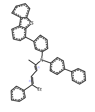 CC/C(=C\C=C(/C)N(c1ccc(-c2ccccc2)cc1)c1cccc(-c2cccc3c2sc2ccccc23)c1)c1ccccc1